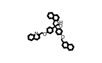 O=C(S)C(Cc1cccc2ccccc12)(c1ccc(OCc2ccc3ccccc3c2)cc1)c1ccc(OCc2ccc3ccccc3n2)cc1